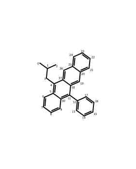 CC(C)Cc1c2ccccc2c(-c2ccccc2)c2cc3ccccc3cc12